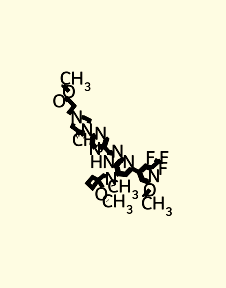 CCOC(=O)CCN1CCN(c2cnc(-c3nc4nc(-c5cc(OCC)nc(C(F)(F)F)c5)cc(N(C)CC5(COC)CCC5)c4[nH]3)cn2)[C@H](C)C1